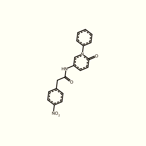 O=C(Cc1ccc([N+](=O)[O-])cc1)Nc1ccc(=O)n(-c2ccccc2)c1